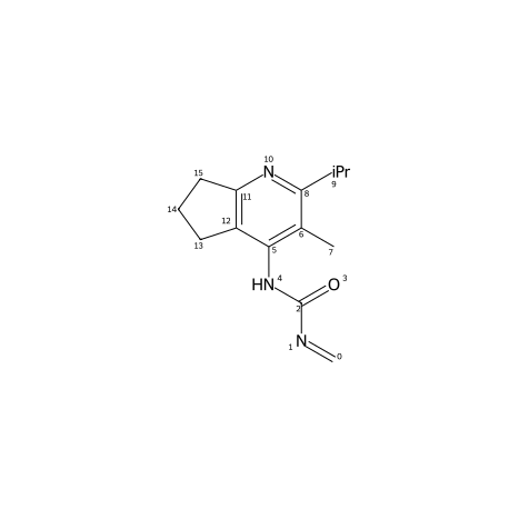 C=NC(=O)Nc1c(C)c(C(C)C)nc2c1CCC2